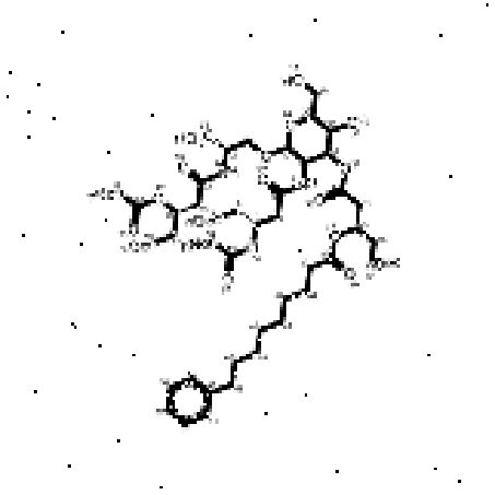 CCCCCCCCCCC[C@H](CC(=O)NC1C(OC[C@@H](NC(=O)C[C@@H](CCCCCCCCCCC)OC(=O)CCCCCCCCC)C(=O)O)OC(CO)C(O)C1OC(=O)C[C@@H](CCCCCCCCCCC)OC(=O)CCCCCCCCc1ccccc1)OC(=O)CCCCCCCCC